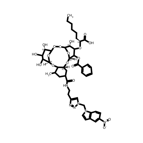 CCCCCC[C@H](OC1C(OC(=O)c2ccccc2)[C@H]2OC(COC3O[C@@H](OC4C(C)CC(C(=O)NCCc5cn(Cn6ccc7cc([N+](=O)[O-])ccc76)nn5)C[C@H]4O2)C(O)C(O)[C@@H]3O)[C@@H]1O)C(=O)O